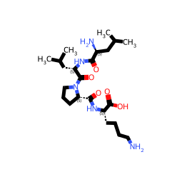 CC(C)C[C@H](NC(=O)[C@@H](N)CC(C)C)C(=O)N1CCC[C@H]1C(=O)N[C@@H](CCCCN)C(=O)O